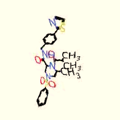 CC(C)C(=O)N1C(C)CN(S(=O)(=O)c2ccccc2)CC1C(=O)NCc1ccc(-c2nccs2)cc1